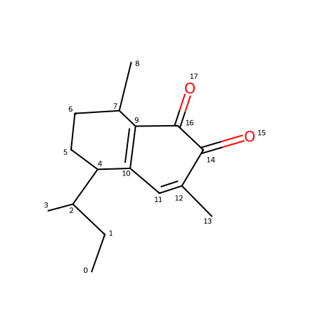 CCC(C)C1CCC(C)C2=C1C=C(C)C(=O)C2=O